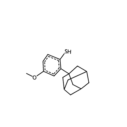 COc1ccc(S)c(C23CC4CC(CC(C4)C2)C3)c1